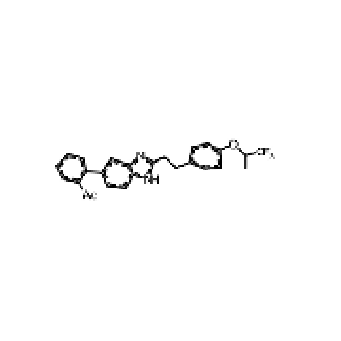 CC(=O)c1ccccc1-c1ccc2[nH]c(CCc3ccc(OC(C)C(F)(F)F)cc3)nc2c1